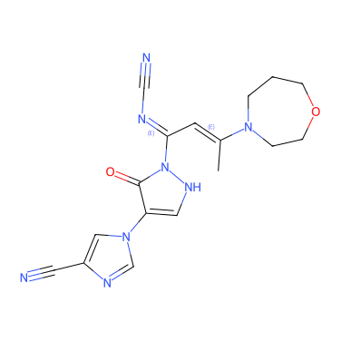 C/C(=C\C(=N/C#N)n1[nH]cc(-n2cnc(C#N)c2)c1=O)N1CCCOCC1